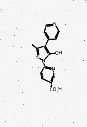 Cc1nn(-c2ccc(C(=O)O)cn2)c(O)c1-c1ccncc1